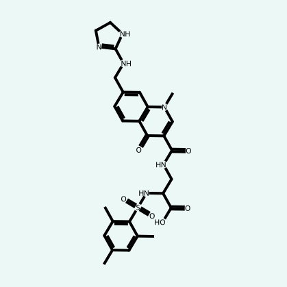 Cc1cc(C)c(S(=O)(=O)NC(CNC(=O)c2cn(C)c3cc(CNC4=NCCN4)ccc3c2=O)C(=O)O)c(C)c1